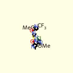 COc1nc(C(F)(F)F)ccc1C(=O)N1Cc2nc(NC(=O)c3cnc(C)cc3-c3cc(Cl)cnc3OC)sc2C1